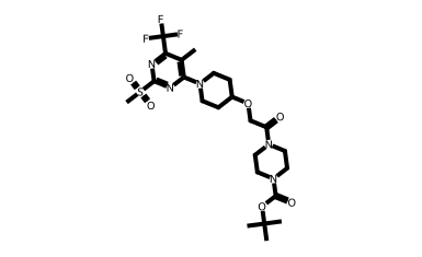 Cc1c(N2CCC(OCC(=O)N3CCN(C(=O)OC(C)(C)C)CC3)CC2)nc(S(C)(=O)=O)nc1C(F)(F)F